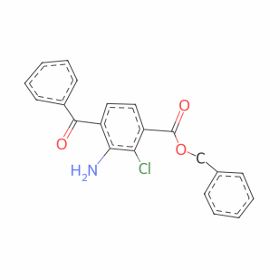 Nc1c(C(=O)c2ccccc2)ccc(C(=O)OCc2ccccc2)c1Cl